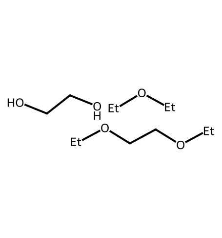 CCOCC.CCOCCOCC.OCCO